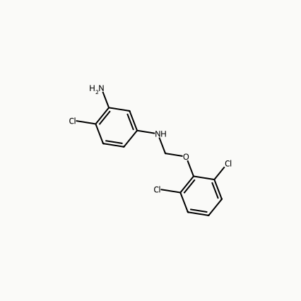 Nc1cc(NCOc2c(Cl)cccc2Cl)ccc1Cl